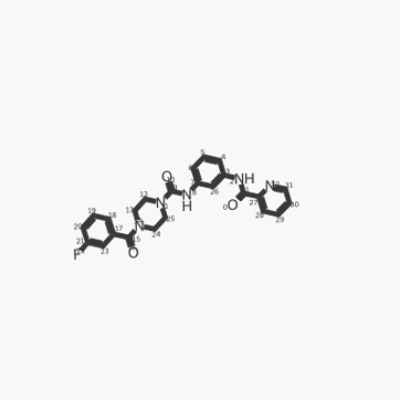 O=C(Nc1cccc(NC(=O)N2CCN(C(=O)c3cccc(F)c3)CC2)c1)c1ccccn1